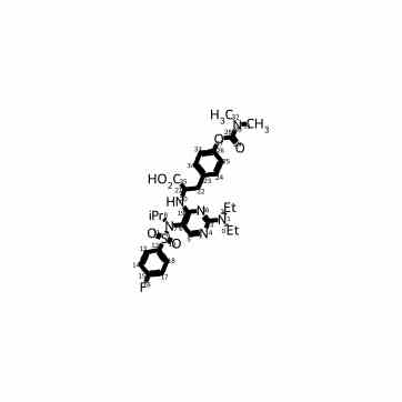 CCN(CC)c1ncc(N(C(C)C)S(=O)(=O)c2ccc(F)cc2)c(NC(Cc2ccc(OC(=O)N(C)C)cc2)C(=O)O)n1